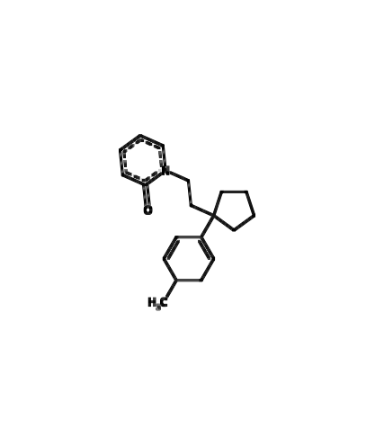 CC1C=CC(C2(CCn3ccccc3=O)CCCC2)=CC1